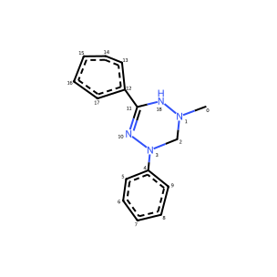 CN1CN(c2ccccc2)N=C(c2ccccc2)N1